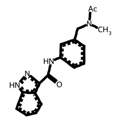 CC(=O)N(C)Cc1cccc(NC(=O)c2n[nH]c3ccccc23)c1